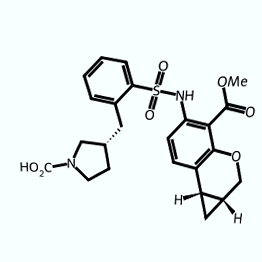 COC(=O)c1c(NS(=O)(=O)c2ccccc2C[C@@H]2CCN(C(=O)O)C2)ccc2c1OC[C@@H]1C[C@H]21